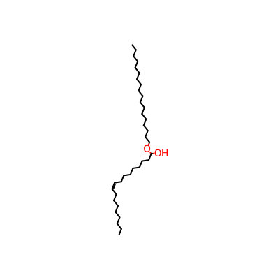 CCCCCCCC/C=C\CCCCCCCC(O)OCCCCCCCCCCCCCCCCCC